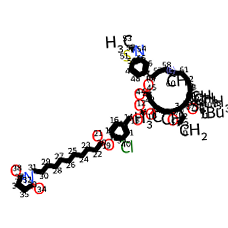 C=CC[C@H]1C(=O)C(C)(C)[C@@H](OC(=O)OCc2ccc(OC(=O)CCCCCCCCCCN3C(=O)C=CC3=O)c(Cl)c2)CC(=O)O[C@H](c2ccc3sc(C)nc3c2)C/C=C(\C)CCC[C@H](C)[C@@H]1O[Si](C)(C)C(C)(C)C